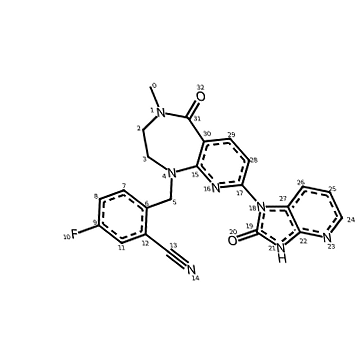 CN1CCN(Cc2ccc(F)cc2C#N)c2nc(-n3c(=O)[nH]c4ncccc43)ccc2C1=O